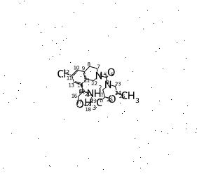 CC1CN(C(=O)N2CCc3cc(Cl)cc([C@@H]4COCCN4)c3C2)CC(C)O1